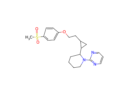 CS(=O)(=O)c1ccc(OCCC2CC2C2CCCCN2c2ncccn2)cc1